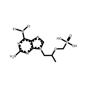 CCN(CC)c1nc(N)nc2c1ncn2CC(C)OCP(=O)(O)O